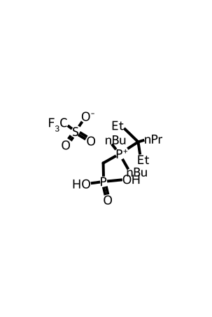 CCCC[P+](CCCC)(CP(=O)(O)O)C(CC)(CC)CCC.O=S(=O)([O-])C(F)(F)F